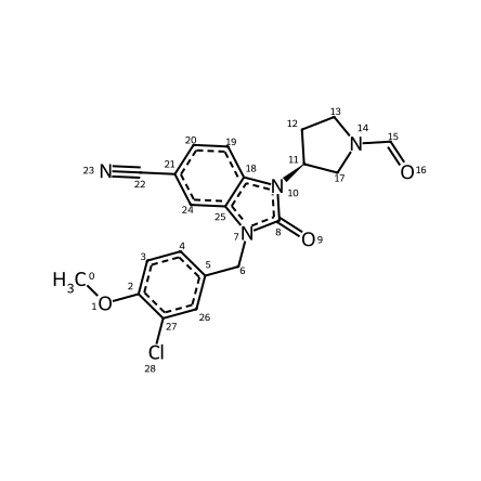 COc1ccc(Cn2c(=O)n([C@H]3CCN(C=O)C3)c3ccc(C#N)cc32)cc1Cl